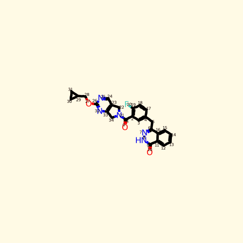 O=C(c1cc(Cc2n[nH]c(=O)c3ccccc23)ccc1F)N1Cc2cnc(OCC3CC3)nc2C1